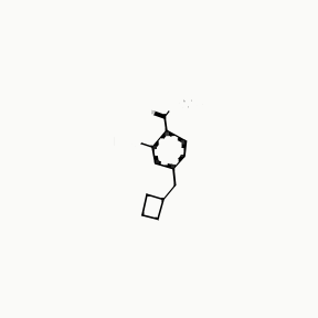 COC(=O)c1ccc(CC2CCC2)cc1C